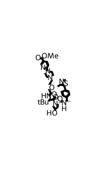 COC(=O)c1ccc(N2CCN(CCOCC(=O)NC(C(=O)N3C[C@H](O)C[C@H]3C(=O)N[C@@H](C)c3ccc(-c4scnc4C)cc3)C(C)(C)C)CC2)nc1